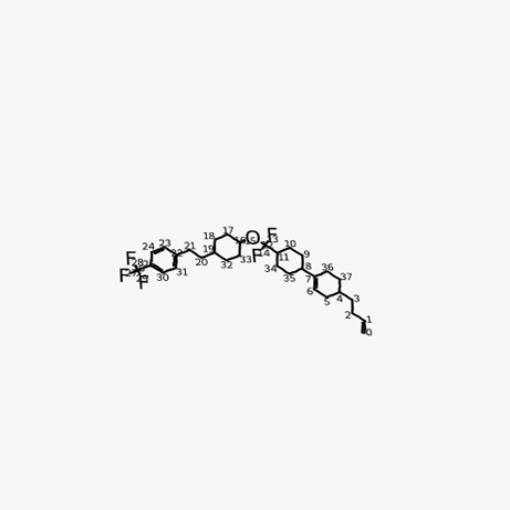 C=CCCC1CC=C(C2CCC(C(F)(F)OC3CCC(CCc4ccc(C(F)(F)F)cc4)CC3)CC2)CC1